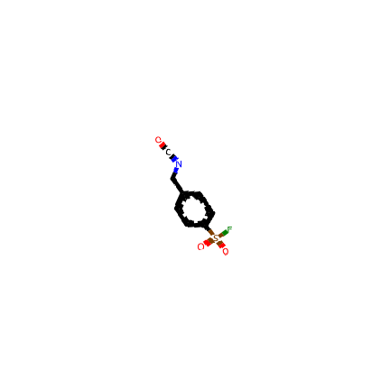 O=C=NCc1ccc(S(=O)(=O)F)cc1